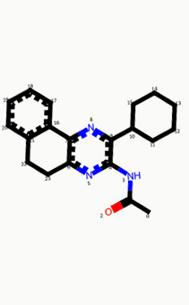 CC(=O)Nc1nc2c(nc1C1CCCCC1)-c1ccccc1CC2